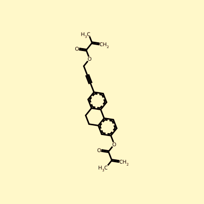 C=C(C)C(=O)OCC#Cc1ccc2c(c1)CCc1cc(OC(=O)C(=C)C)ccc1-2